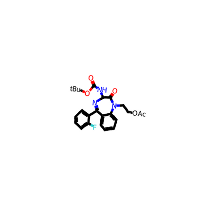 CC(=O)OCCN1C(=O)C(NC(=O)OC(C)(C)C)N=C(c2ccccc2F)c2ccccc21